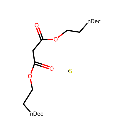 CCCCCCCCCCCCOC(=O)CC(=O)OCCCCCCCCCCCC.[S]